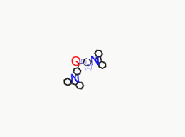 C=C(/C=C\C(=C/C)C(=O)c1ccc(-n2c3ccccc3c3ccccc32)cc1)n1c2ccccc2c2ccccc21